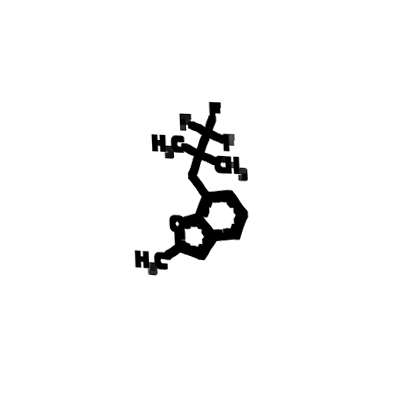 Cc1cc2cccc(CC(C)(C)C(F)(F)F)c2o1